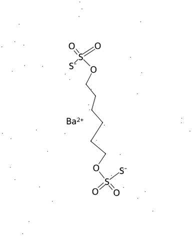 O=S(=O)([S-])OCCCCCCOS(=O)(=O)[S-].[Ba+2]